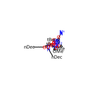 CCCCCCCCCCCCCCCCCCCCCCOc1ccc(CNC(=O)COc2ccc(C(NC(=O)[C@H](CCCc3cc(C)cc(C)c3)NC(=O)[C@H](Cc3ccc(-c4ccc(OCCCCN=[N+]=[N-])cc4CC)cc3)NC(=O)[C@H](CC(=O)OC(C)(C)C)NC(=O)[C@@H](N)COC(C)(C)C)c3ccc(OC)cc3OC)cc2)c(OCCCCCCCCCCCCCCCCCCCCCC)c1